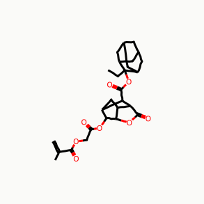 C=C(C)C(=O)OCC(=O)OC1C2CC3C1OC(=O)C3C2C(=O)OC1(CC)C2CC3CC(C2)CC1C3